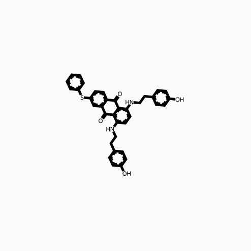 O=C1c2ccc(Sc3ccccc3)cc2C(=O)c2c(NCCc3ccc(O)cc3)ccc(NCCc3ccc(O)cc3)c21